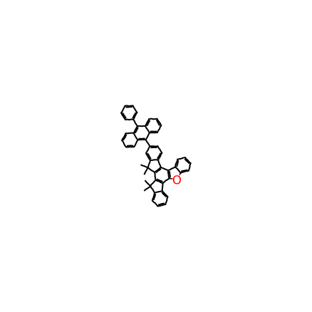 CC1(C)c2ccccc2-c2c1c1c(c3c2oc2ccccc23)-c2ccc(-c3c4ccccc4c(-c4ccccc4)c4ccccc34)cc2C1(C)C